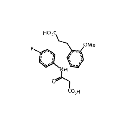 COc1ccccc1CCC(=O)O.O=C(O)CC(=O)Nc1ccc(F)cc1